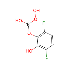 OOB(O)Oc1c(F)ccc(F)c1O